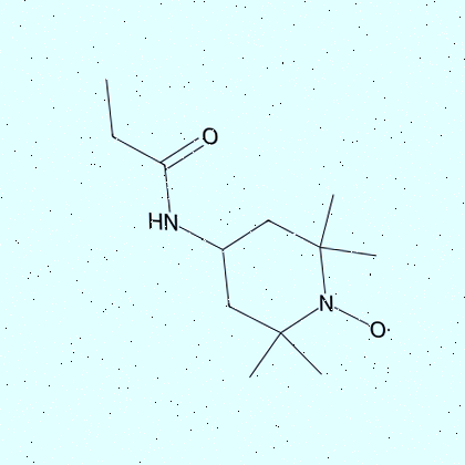 CCC(=O)NC1CC(C)(C)N([O])C(C)(C)C1